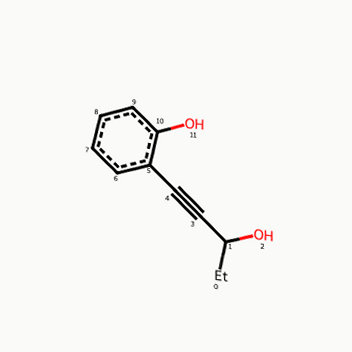 CCC(O)C#Cc1ccccc1O